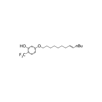 CCCC/C=C/CCCCCCCOc1ccc(C(F)(F)F)c(O)c1